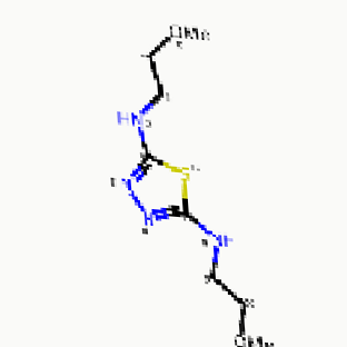 COCCNc1nnc(NCCOC)s1